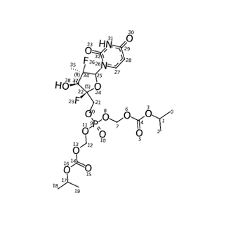 CC(C)OC(=O)OCOP(=O)(OCOC(=O)OC(C)C)OC[C@@]1(F)OC(n2ccc(=O)[nH]c2=O)[C@](C)(F)[C@@H]1O